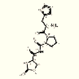 N[C@@H](Cc1cscn1)C(=O)N1CCC[C@H]1C(=O)NC(=O)C1COC(=O)N1